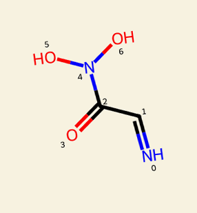 N=CC(=O)N(O)O